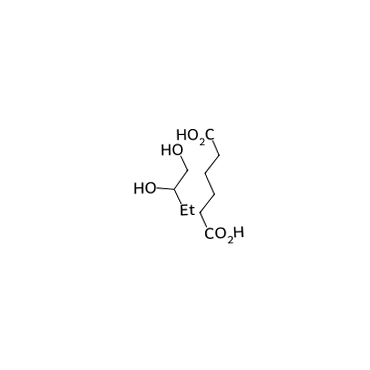 CCC(O)CO.O=C(O)CCCCC(=O)O